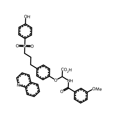 COc1cccc(C(=O)NC(Oc2ccc(CCCS(=O)(=O)c3ccc(O)cc3)cc2)C(=O)O)c1.c1ccc2ncccc2c1